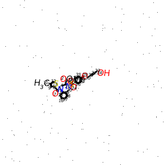 COC(=O)C1CN(C(=O)c2cc(C)cs2)c2ccccc2CN1S(=O)(=O)c1ccc(OCC#CCO)cc1